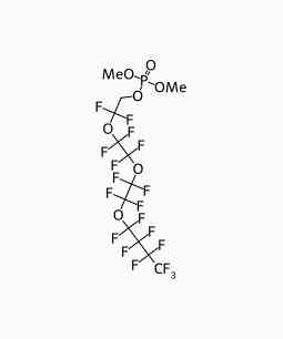 COP(=O)(OC)OCC(F)(F)OC(F)(F)C(F)(F)OC(F)(F)C(F)(F)OC(F)(F)C(F)(F)C(F)(F)C(F)(F)F